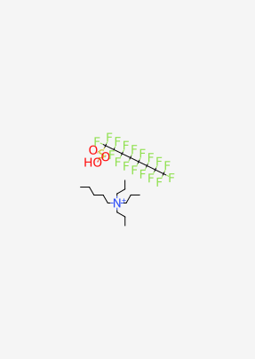 CCCCC[N+](CCC)(CCC)CCC.O=S(=O)(O)C(F)(F)C(F)(F)C(F)(F)C(F)(F)C(F)(F)C(F)(F)C(F)(F)C(F)(F)F